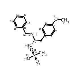 COc1ccc(C[C@H](C)NCc2ccccc2)cc1.CS(=O)(=O)O